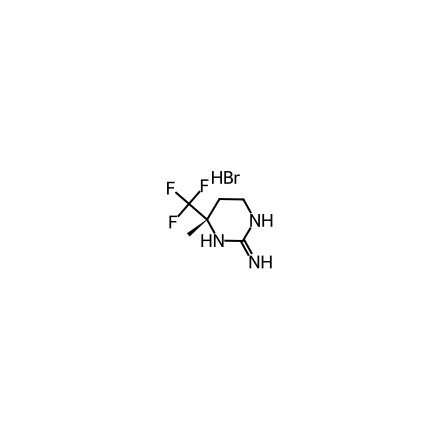 Br.C[C@@]1(C(F)(F)F)CCNC(=N)N1